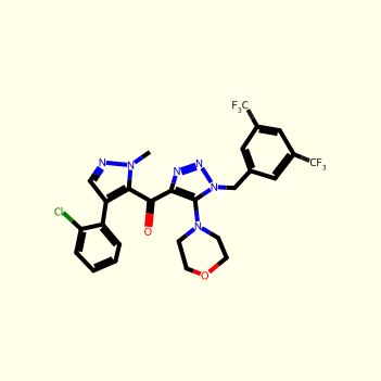 Cn1ncc(-c2ccccc2Cl)c1C(=O)c1nnn(Cc2cc(C(F)(F)F)cc(C(F)(F)F)c2)c1N1CCOCC1